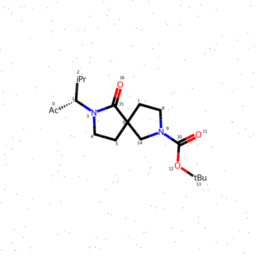 CC(=O)[C@H](C(C)C)N1CCC2(CCN(C(=O)OC(C)(C)C)C2)C1=O